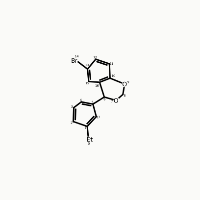 CCc1cccc(C2OCOc3ccc(Br)cc32)c1